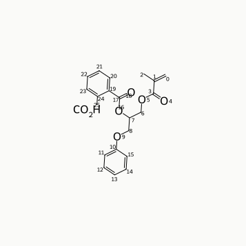 C=C(C)C(=O)OCC(COc1ccccc1)OC(=O)c1ccccc1C(=O)O